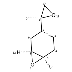 C[C@]1([C@@H]2CC[C@@]3(C)O[C@H]3C2)CO1